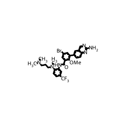 COc1c(C(=O)Nc2cc(C(F)(F)F)ccc2N(C)CCCN(C)C)cc(Br)cc1-c1ccc2nc(N)ncc2c1